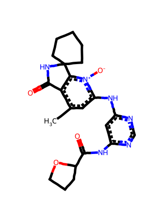 Cc1cc(Nc2cc(NC(=O)C3CCCO3)ncn2)[n+]([O-])c2c1C(=O)NC21CCCCC1